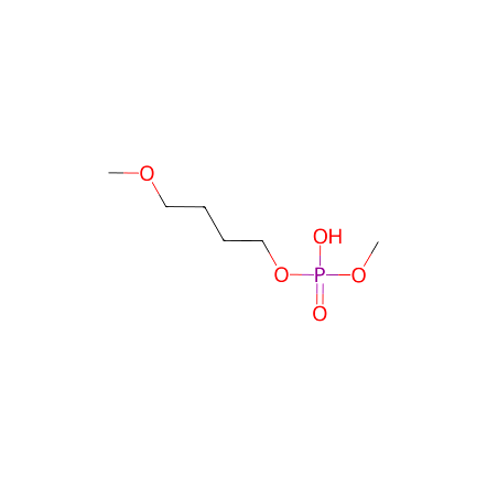 COCCCCOP(=O)(O)OC